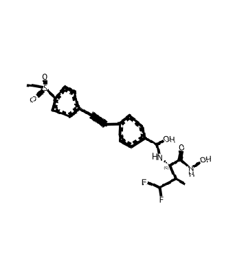 CC(C(F)F)[C@H](NC(O)c1ccc(C#Cc2ccc(S(C)(=O)=O)cc2)cc1)C(=O)NO